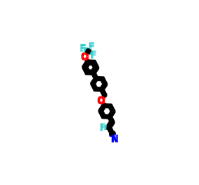 N#CC(F)=CC1CCC(OCC2CCC(c3ccc(OC(F)(F)F)cc3)CC2)CC1